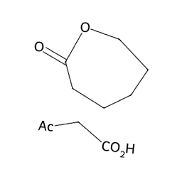 CC(=O)CC(=O)O.O=C1CCCCCO1